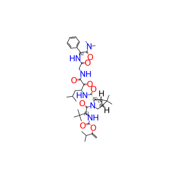 C=C(OC(=O)N[C@H](C(=O)N1C[C@@H]2[C@H]([C@H]1C(=O)NC(CC(C)C)C(=O)C(=O)NCC(=O)N[C@H](C(=O)N(C)C)c1ccccc1)C2(C)C)C(C)(C)C)C(C)C